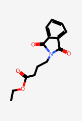 CCOC(=O)CCCN1C(=O)c2ccccc2C1=O